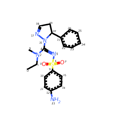 CCN(C)/C(=N\S(=O)(=O)c1ccc(N)cc1)N1N=CCC1c1ccccc1